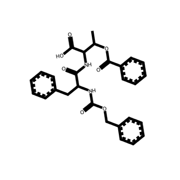 CC(OC(=O)c1ccccc1)C(NC(=O)C(Cc1ccccc1)NC(=O)OCc1ccccc1)C(=O)O